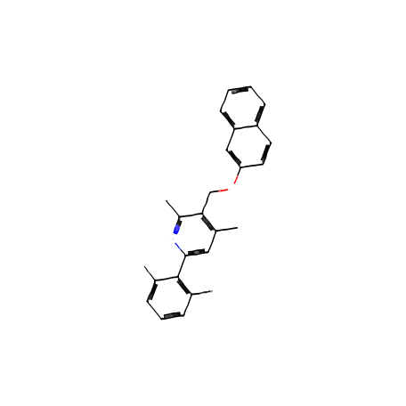 CCc1cccc(CC)c1-c1cc(C)c(COc2ccc3ccccc3c2)c(C)n1